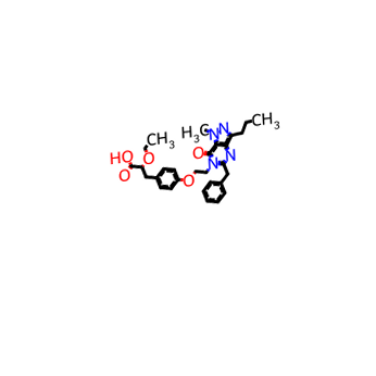 CCCc1nn(C)c2c(=O)n(CCOc3ccc(CC(OCC)C(=O)O)cc3)c(Cc3ccccc3)nc12